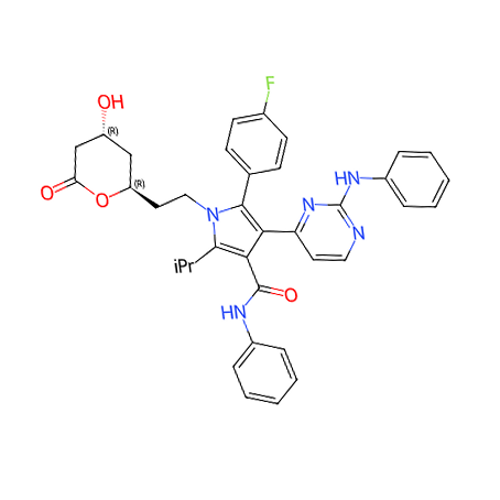 CC(C)c1c(C(=O)Nc2ccccc2)c(-c2ccnc(Nc3ccccc3)n2)c(-c2ccc(F)cc2)n1CC[C@@H]1C[C@@H](O)CC(=O)O1